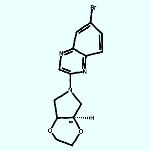 Brc1ccc2nc(N3CC4OCCO[C@@H]4C3)cnc2c1